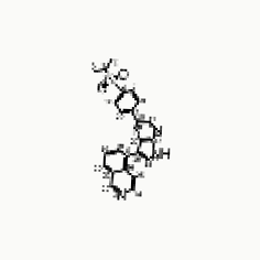 CC(C)S(=O)(=O)c1ccc(-c2cnc3[nH]cc(-c4cccc5cnccc45)c3n2)cc1